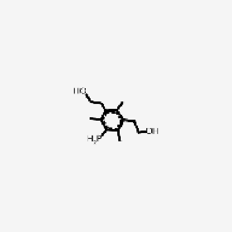 Cc1c(P)c(C)c(CCO)c(C)c1CCO